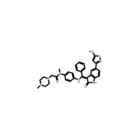 CN1CCN(CC(=O)N(C)c2ccc(N/C(=C3\C(=O)Nc4ccc(-c5cc(O)on5)cc43)c3ccccc3)cc2)CC1